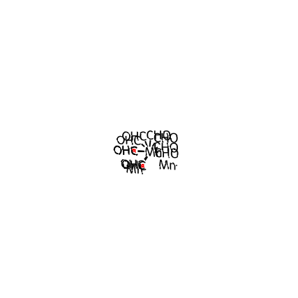 O=[CH][Mn]([CH]=O)([CH]=O)([CH]=O)([CH]=O)([CH]=O)([CH]=O)([CH]=O)([CH]=O)[CH]=O.[Mn].[Mn]